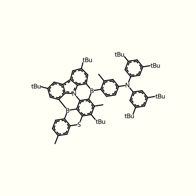 Cc1ccc2c(c1)Sc1c3c4c(c(C)c1C(C)(C)C)B(c1ccc(N(c5cc(C(C)(C)C)cc(C(C)(C)C)c5)c5cc(C(C)(C)C)cc(C(C)(C)C)c5)cc1C)c1cc(C(C)(C)C)cc5c6cc(C(C)(C)C)cc(c6n-4c15)B23